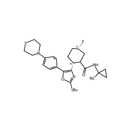 CC(C)(C)c1nc([C@@H]2CC[C@H](F)CC2C(=O)NC2(C#N)CC2)c(-c2ccc(N3CCSCC3)cc2)o1